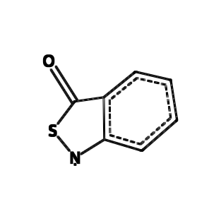 O=C1S[N]c2ccccc21